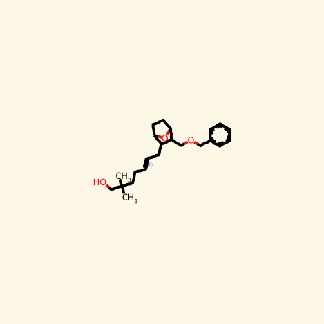 CC(C)(CO)CC/C=C/CC1C2CCC(O2)C1COCc1ccccc1